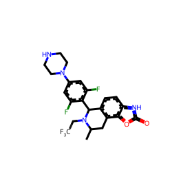 CC1Cc2c(ccc3[nH]c(=O)oc23)C(c2c(F)cc(N3CCNCC3)cc2F)N1CC(F)(F)F